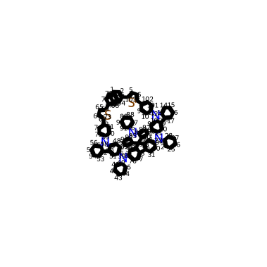 c1ccc(-c2ccc(-c3ccc(-n4c5ccccc5c5cc(N(c6ccccc6)c6ccc7c(c6)C6(c8cc(N(c9ccccc9)c9ccc%10c(c9)c9ccccc9n%10-c9ccc(-c%10ccc(-c%11ccccc%11)s%10)cc9)ccc8-7)c7ccccc7N(c7ccccc7)c7ccccc76)ccc54)cc3)s2)cc1